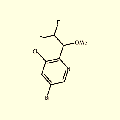 COC(c1ncc(Br)cc1Cl)C(F)F